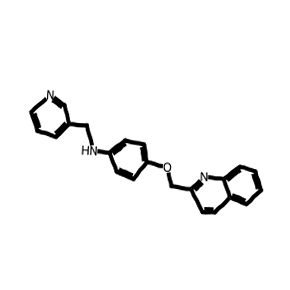 c1cncc(CNc2ccc(OCc3ccc4ccccc4n3)cc2)c1